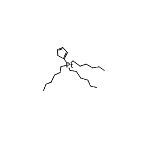 CCCCC[CH2][Pt]([CH2]CCCCC)([CH2]CCCCC)[C]1=CC=CC1